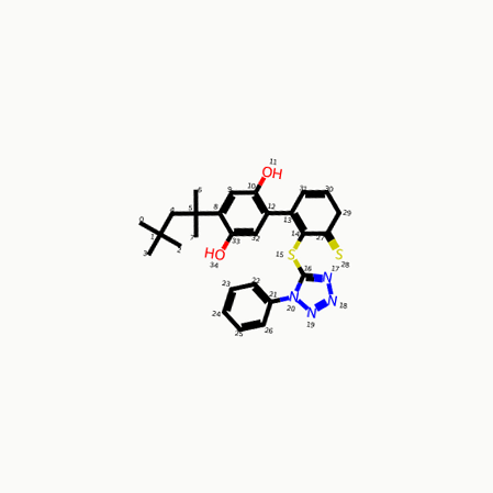 CC(C)(C)CC(C)(C)c1cc(O)c(C2=C(Sc3nnnn3-c3ccccc3)C(=S)CC=C2)cc1O